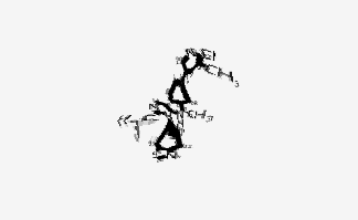 Cc1cc(-c2cccc([C@H](C)NC3=CC=NC(C)N3c3ccc4ncsc4c3)c2)cnc1Cl